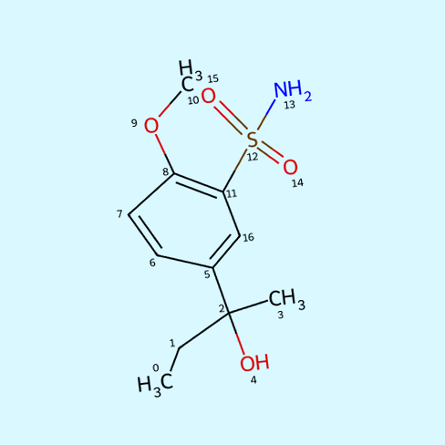 CCC(C)(O)c1ccc(OC)c(S(N)(=O)=O)c1